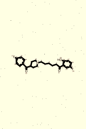 O=C(CCCCCN1CCC(C(=O)c2ccc(F)cc2)CC1)c1cc(F)ccc1O